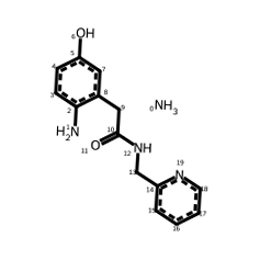 N.Nc1ccc(O)cc1CC(=O)NCc1ccccn1